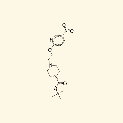 CC(C)(C)OC(=O)N1CCN(CCOc2ccc([N+](=O)[O-])cn2)CC1